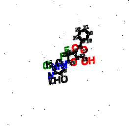 CN(/C=C\C(=N/C=O)NCl)[C@@H]1O[C@H](CO)C(OC(=O)c2ccccc2)C1(F)F